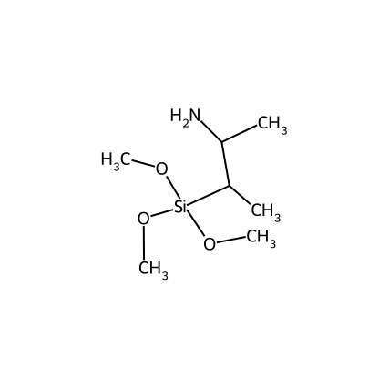 CO[Si](OC)(OC)C(C)C(C)N